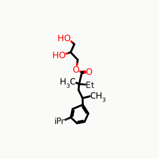 CCC(C)(CC(C)c1cccc(C(C)C)c1)C(=O)OCC(O)CO